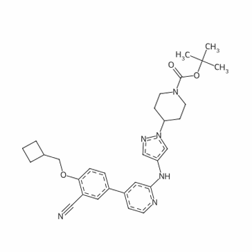 CC(C)(C)OC(=O)N1CCC(n2cc(Nc3cc(-c4ccc(OCC5CCC5)c(C#N)c4)ccn3)cn2)CC1